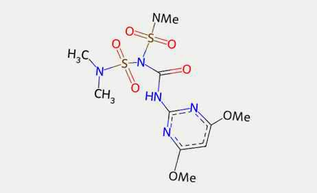 CNS(=O)(=O)N(C(=O)Nc1nc(OC)cc(OC)n1)S(=O)(=O)N(C)C